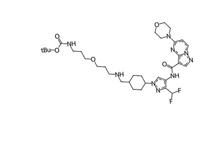 CC(C)(C)OC(=O)NCCCOCCCNCC1CCC(n2cc(NC(=O)c3cnn4ccc(N5CCOCC5)nc34)c(C(F)F)n2)CC1